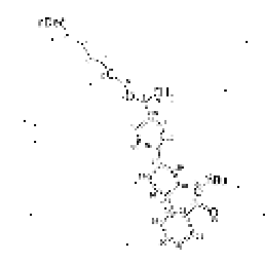 CCCCCCCCCCCCCCCCOC(C)c1ccc(-c2ccc(-c3ccccc3C(=O)OCCCC)cc2)cc1